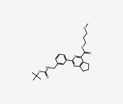 COCCCOC(=O)c1nc(-c2cccc(CNC(=O)OC(C)(C)C)c2)nc2c1CCC2